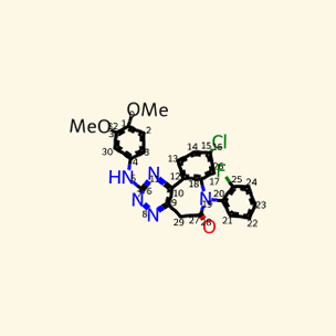 COc1ccc(Nc2nnc3c(n2)-c2ccc(Cl)cc2N(c2ccccc2F)C(=O)C3)cc1OC